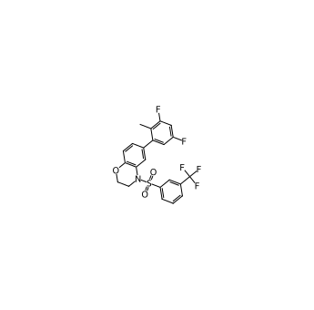 Cc1c(F)cc(F)cc1-c1ccc2c(c1)N(S(=O)(=O)c1cccc(C(F)(F)F)c1)CCO2